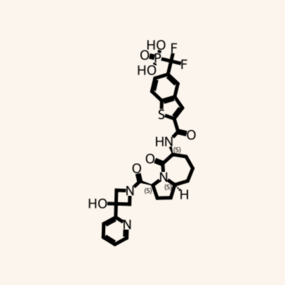 O=C(N[C@H]1CCC[C@H]2CC[C@@H](C(=O)N3CC(O)(c4ccccn4)C3)N2C1=O)c1cc2cc(C(F)(F)P(=O)(O)O)ccc2s1